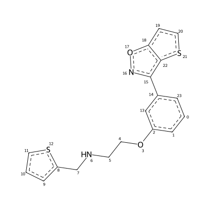 c1cc(OCCNCc2cccs2)cc(-c2noc3ccsc23)c1